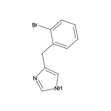 Brc1ccccc1Cc1c[nH]cn1